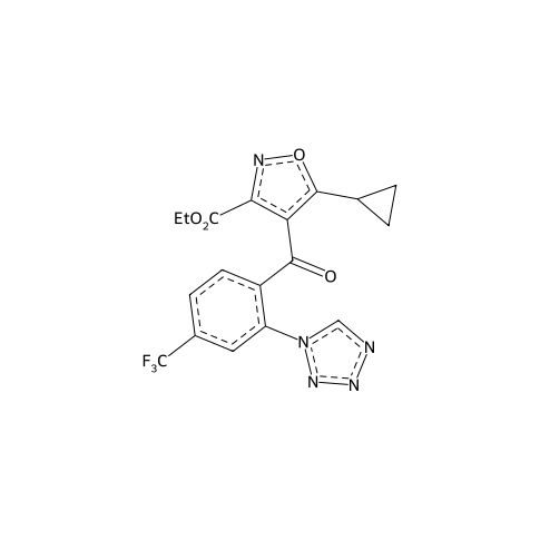 CCOC(=O)c1noc(C2CC2)c1C(=O)c1ccc(C(F)(F)F)cc1-n1cnnn1